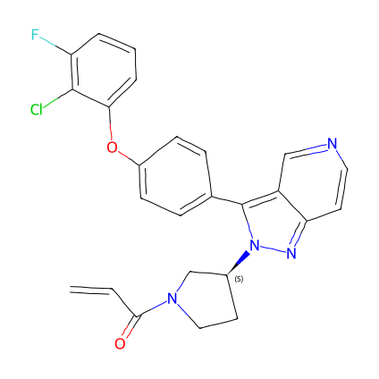 C=CC(=O)N1CC[C@H](n2nc3ccncc3c2-c2ccc(Oc3cccc(F)c3Cl)cc2)C1